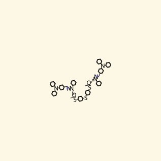 CC(OCCN(/N=C/c1ccc(N(c2ccccc2)c2ccccc2)cc1)c1ccccc1)Sc1ccc(Sc2ccc(SC(C)OCCN(/N=C/c3ccc(N(c4ccccc4)c4ccccc4)cc3)c3ccccc3)cc2)cc1